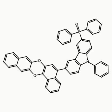 O=P(c1ccccc1)(c1ccccc1)c1ccc2c(c1)c1cc(-c3cc4c(c5ccccc35)Oc3cc5ccccc5cc3O4)ccc1n2-c1ccccc1